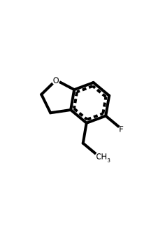 CCc1c(F)ccc2c1CCO2